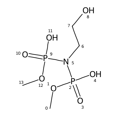 COP(=O)(O)N(CCO)P(=O)(O)OC